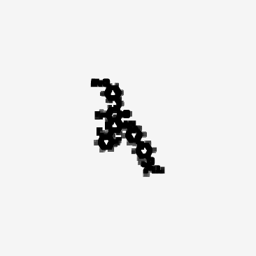 COc1ccc(Cn2cc(Br)c3nc(-c4c(F)cccc4F)cc(Nc4ccc(N5CCC(O[Si](C)(C)C(C)(C)C)CC5)cn4)c3c2=O)cc1